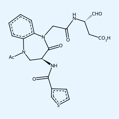 CC(=O)N1C[C@H](NC(=O)c2ccsc2)C(=O)N(CC(=O)N[C@H](C=O)CC(=O)O)c2ccccc21